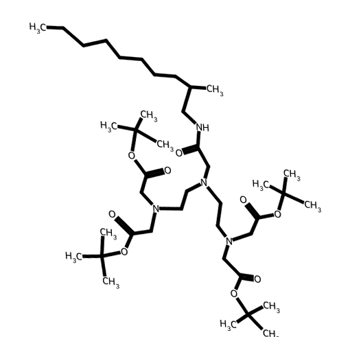 CCCCCCCCC(C)CNC(=O)CN(CCN(CC(=O)OC(C)(C)C)CC(=O)OC(C)(C)C)CCN(CC(=O)OC(C)(C)C)CC(=O)OC(C)(C)C